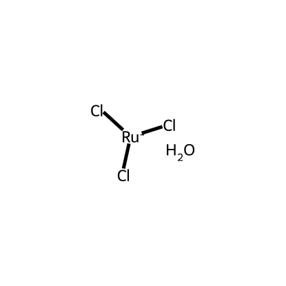 O.[Cl][Ru-]([Cl])[Cl]